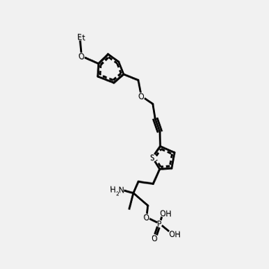 CCOc1ccc(COCC#Cc2ccc(CCC(C)(N)COP(=O)(O)O)s2)cc1